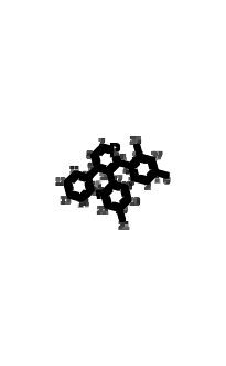 Cc1ccc(-c2pccc(-c3ccccc3)c2-c2ccc(C)cc2C)c(C)c1